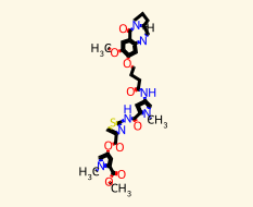 COC(=O)c1cc(OC(=O)c2csc(NC(=O)c3cc(NC(=O)CCCOc4cc5c(cc4OC)C(=O)N4CCC[C@H]4C=N5)cn3C)n2)cn1C